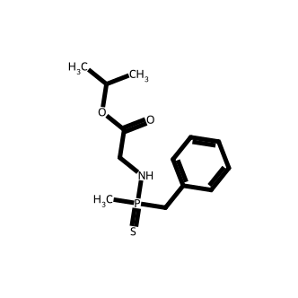 CC(C)OC(=O)CNP(C)(=S)Cc1ccccc1